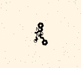 CC(c1ccc2ccccc2n1)N(C[C]=O)C(=O)/C=C/c1ccccc1